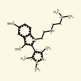 COc1ccc2c(c1)c(C=O)c(-c1c(C)nn(C)c1C)n2CCNCCN(C)C